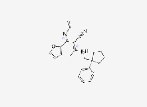 C=C/N=C(\C(C#N)=C(/C)NCC1(c2ccccc2)CCCC1)c1ccco1